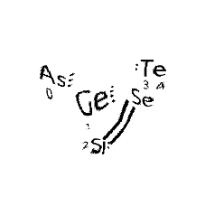 [As].[Ge].[Si]=[Se].[Te]